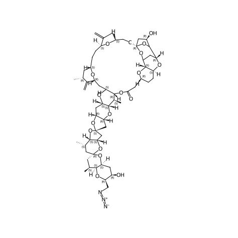 C=C1C[C@@H]2CC[C@]34C[C@@H](O)C(O3)[C@H]3CC(O4)[C@H]4O[C@H](CC[C@@H]4O3)CC(=O)O[C@@H]3[C@@H](C)[C@@H]4O[C@@H]5C[C@]6(C[C@@H]7O[C@]8(C[C@H](C)[C@@H]9O[C@H](CN=[N+]=[N-])[C@H](O)C[C@@H]9O8)C[C@H](C)[C@@H]7O6)O[C@@H]5C[C@@H]4O[C@H]3C[C@H]3O[C@@H](CC[C@@H]1O2)C[C@@H](C)C3=C